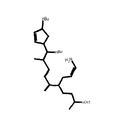 CCCCCCCCC(C)CCC(C/C=C\N)C(C)CCC(C)C(CCCC)C1C=CC(CCCC)C1